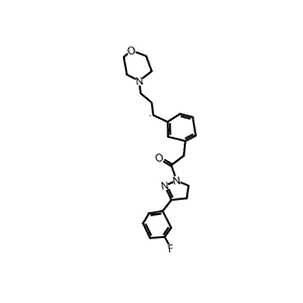 O=C(Cc1cccc([CH]CCN2CCOCC2)c1)N1CCC(c2cccc(F)c2)=N1